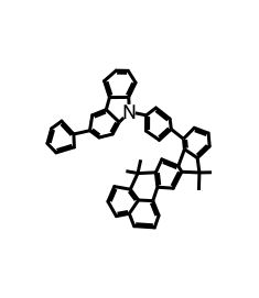 CC1(C)c2cc3c(cc2-c2c(-c4ccc(-n5c6ccccc6c6cc(-c7ccccc7)ccc65)cc4)cccc21)C(C)(C)c1cccc2cccc-3c12